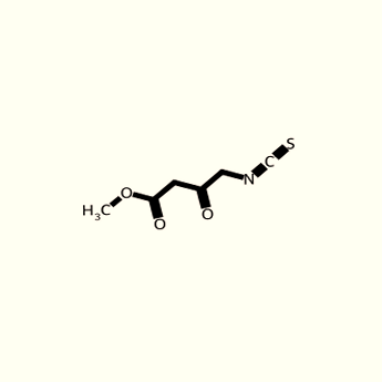 COC(=O)CC(=O)CN=C=S